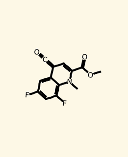 COC(=O)C1=CC(=C=O)c2cc(F)cc(F)c2N1C